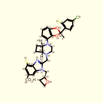 C[C@]1(c2ccc(Cl)cc2F)Oc2cccc(N3CCN(Cc4nc5c(F)cc(C(=O)O)cc5n4C[C@@H]4CCO4)[C@@H]4CC[C@@H]43)c2O1